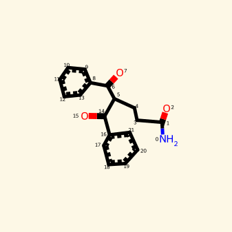 NC(=O)CCC(C(=O)c1ccccc1)C(=O)c1ccccc1